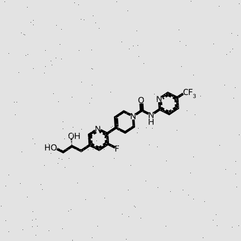 O=C(Nc1ccc(C(F)(F)F)cn1)N1CC=C(c2ncc(C[C@@H](O)CO)cc2F)CC1